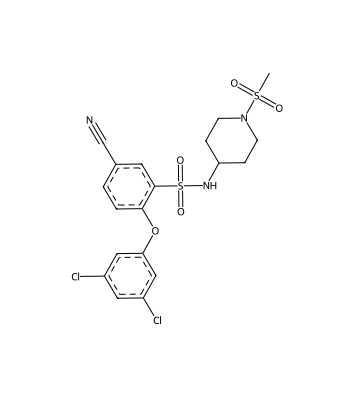 CS(=O)(=O)N1CCC(NS(=O)(=O)c2cc(C#N)ccc2Oc2cc(Cl)cc(Cl)c2)CC1